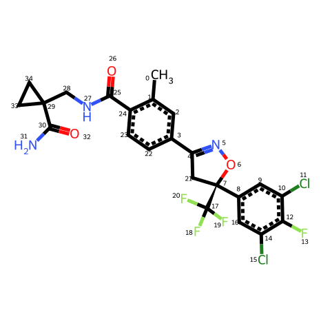 Cc1cc(C2=NO[C@@](c3cc(Cl)c(F)c(Cl)c3)(C(F)(F)F)C2)ccc1C(=O)NCC1(C(N)=O)CC1